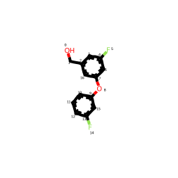 OCc1cc(F)cc(Oc2cccc(F)c2)c1